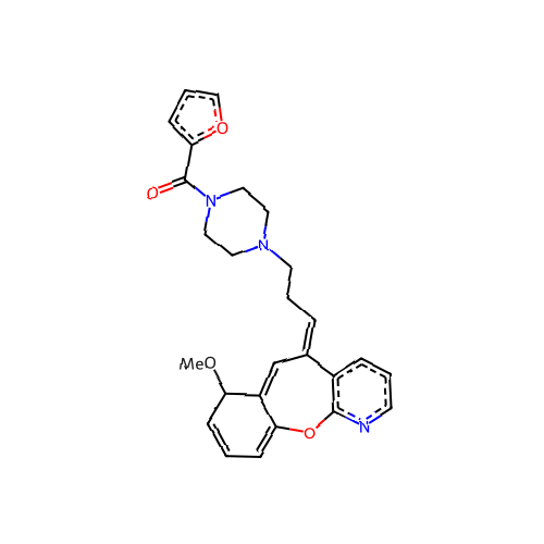 COC1C=CC=C2Oc3ncccc3C(=CCCN3CCN(C(=O)c4ccco4)CC3)C=C21